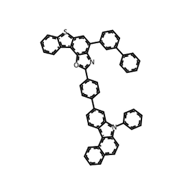 c1ccc(-c2cccc(-c3cc4sc5ccccc5c4c4oc(-c5ccc(-c6ccc7c8c9ccccc9ccc8n(-c8ccccc8)c7c6)cc5)nc34)c2)cc1